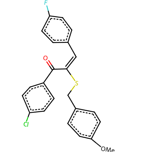 COc1ccc(CSC(=Cc2ccc(F)cc2)C(=O)c2ccc(Cl)cc2)cc1